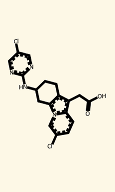 O=C(O)Cc1c2c(n3cc(Cl)ccc13)CC(Nc1ncc(Cl)cn1)CC2